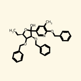 CC[C@H]1OC(O)(c2cnc(OCc3ccccc3)c(C)c2)[C@@H](OCc2ccccc2)C1OCc1ccccc1